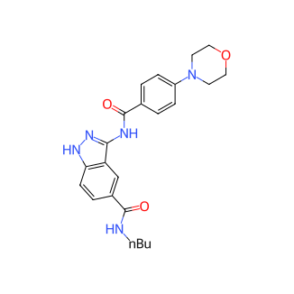 CCCCNC(=O)c1ccc2[nH]nc(NC(=O)c3ccc(N4CCOCC4)cc3)c2c1